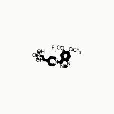 O=P(O)(O)CCC1CCN(c2ncnc3cc(OC(F)(F)F)c(OC(F)(F)F)cc23)CC1